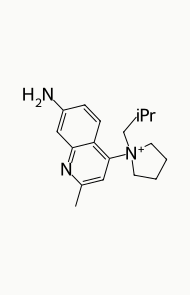 Cc1cc([N+]2(CC(C)C)CCCC2)c2ccc(N)cc2n1